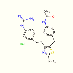 COC(=O)Nc1ccc(Cc2sc(NC(C)=O)nc2CCc2ccc(NC(=N)N)cc2)cc1.Cl